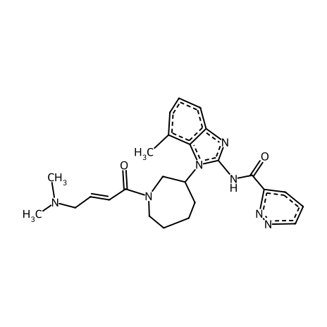 Cc1cccc2nc(NC(=O)c3cccnn3)n(C3CCCCN(C(=O)C=CCN(C)C)C3)c12